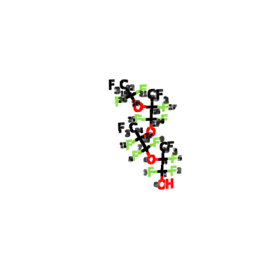 OC(F)(F)C(F)(OC(F)(F)C(F)(OC(F)(F)C(F)(OC(F)(F)C(F)(F)F)C(F)(F)F)C(F)(F)F)C(F)(F)F